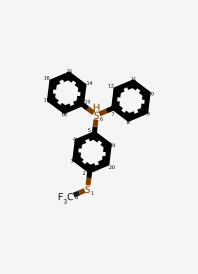 FC(F)(F)Sc1ccc([SH](c2ccccc2)c2ccccc2)cc1